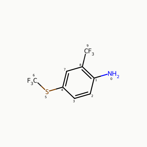 Nc1ccc(SC(F)(F)F)cc1C(F)(F)F